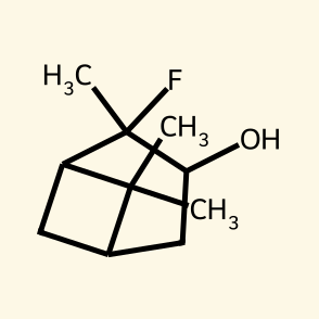 CC1(C)C2CC(O)C(C)(F)C1C2